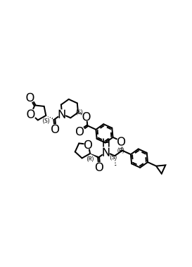 C[C@H](NC(=O)[C@H]1CCCO1)[C@H](Oc1ccc(C(=O)O[C@H]2CCCN(C(=O)[C@@H]3COC(=O)C3)C2)cc1)c1ccc(C2CC2)cc1